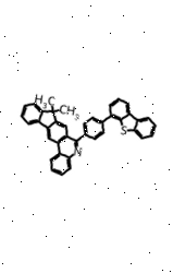 CC1(C)c2ccccc2-c2cc3c(cc21)c(-c1ccc(-c2cccc4c2sc2ccccc24)cc1)nc1ccccc13